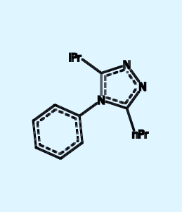 CCCc1nnc(C(C)C)n1-c1ccccc1